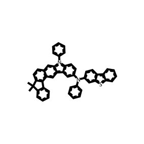 CC1(C)c2ccccc2-c2c1ccc1cc3c(cc21)c1cc(N(c2ccccc2)c2ccc4c(c2)sc2ccccc24)ccc1n3-c1ccccc1